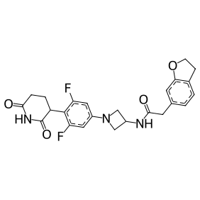 O=C1CCC(c2c(F)cc(N3CC(NC(=O)Cc4ccc5c(c4)OCC5)C3)cc2F)C(=O)N1